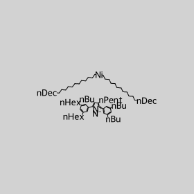 CCCCCCCCCCCCCCCCCCCCC[CH2][Ni][CH2]CCCCCCCCCCCCCCCCCCCCC.CCCCCCc1cc(CCCCCC)cc(C2=C(CCCC)C(CCCCC)=C(c3cc(CCCC)cc(CCCC)c3)[N+]2=[N-])c1